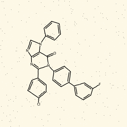 O=c1c2c(ncn2-c2ccccc2)nc(-c2ccc(Cl)cc2)n1-c1ccc(-c2cccc(F)c2)cc1